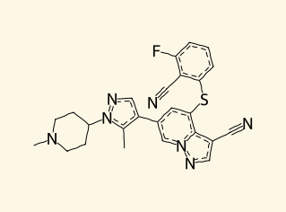 Cc1c(-c2cc(Sc3cccc(F)c3C#N)c3c(C#N)cnn3c2)cnn1C1CCN(C)CC1